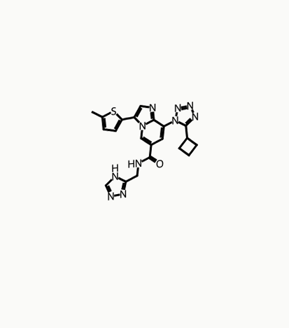 Cc1ccc(-c2cnc3c(-n4nnnc4C4CCC4)cc(C(=O)NCc4nnc[nH]4)cn23)s1